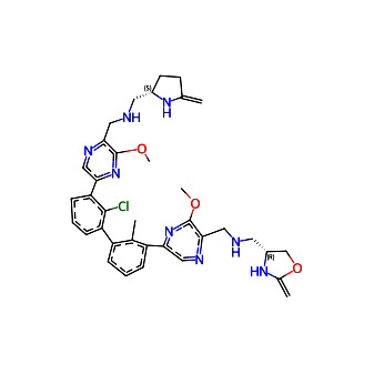 C=C1CC[C@@H](CNCc2ncc(-c3cccc(-c4cccc(-c5cnc(CNC[C@@H]6COC(=C)N6)c(OC)n5)c4C)c3Cl)nc2OC)N1